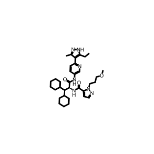 CCc1[nH]nc(C)c1-c1ccc(NC(=O)[C@@H](NC(=O)c2ccnn2CCCOC)C(C2CCCCC2)C2CCCCC2)cn1